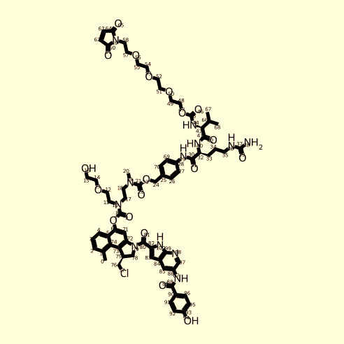 Cc1cccc2c(OC(=O)N(CCOCCO)CCN(C)C(=O)OCc3ccc(NC(=O)[C@H](CCCNC(N)=O)NC(=O)[C@@H](NC(=O)OCCOCCOCCOCCN4C(=O)C=CC4=O)C(C)C)cc3)cc3c(c12)[C@H](CCl)CN3C(=O)c1cc2cc(NC(=O)c3ccc(O)cc3)cnc2[nH]1